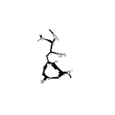 COc1cc(F)cc(CC(N)C(OC)OC)c1